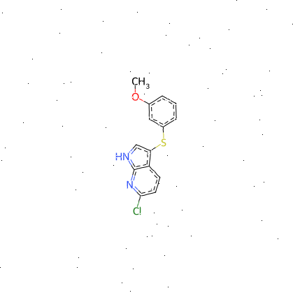 COc1cccc(Sc2c[nH]c3nc(Cl)ccc23)c1